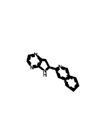 c1ccc2cc(C3Cc4nccnc4N3)ncc2c1